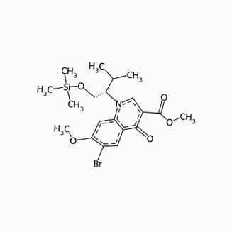 COC(=O)c1cn([C@H](CO[Si](C)(C)C)C(C)C)c2cc(OC)c(Br)cc2c1=O